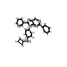 c1ccc(-c2ncc3nc(-c4cccnc4)n(-c4ccc(NC5CCC5)cc4)c3n2)cc1